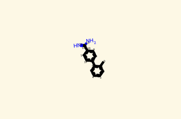 Cc1ccccc1-c1ccc(C(=N)N)cc1